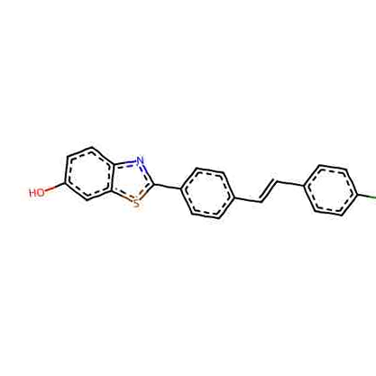 Oc1ccc2nc(-c3ccc(/C=C/c4ccc(F)cc4)cc3)sc2c1